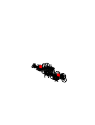 C[C@H](NC(=O)[C@H]1CCCO1)[C@H](Oc1ccc(C(=O)O[C@H]2CCCN(C(=O)[C@H]3COC(=O)C3)C2)cc1)c1ccc(C2CC2)cc1